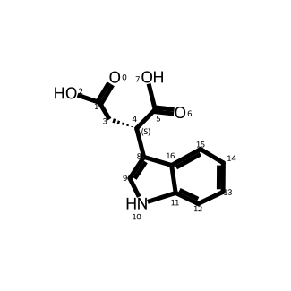 O=C(O)C[C@H](C(=O)O)c1c[nH]c2ccccc12